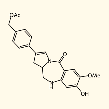 COc1cc2c(cc1O)NCC1CC(c3ccc(COC(C)=O)cc3)=CN1C2=O